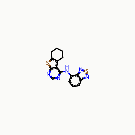 c1cc(Nc2ncnc3sc4c(c23)CCCC4)c2nsnc2c1